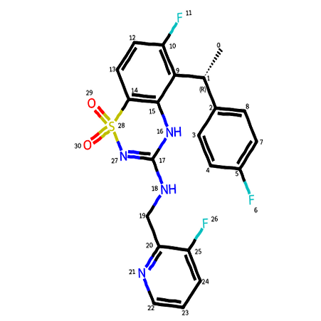 C[C@H](c1ccc(F)cc1)c1c(F)ccc2c1NC(NCc1ncccc1F)=NS2(=O)=O